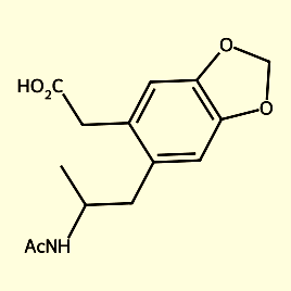 CC(=O)NC(C)Cc1cc2c(cc1CC(=O)O)OCO2